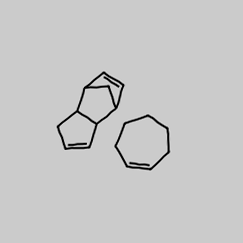 C1=CC2C3C=CC(C3)C2C1.C1=CCCCCC1